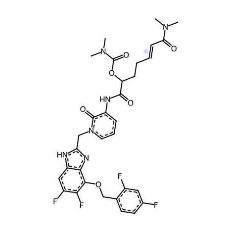 CN(C)C(=O)/C=C/CCC(OC(=O)N(C)C)C(=O)Nc1cccn(Cc2nc3c(OCc4ccc(F)cc4F)c(F)c(F)cc3[nH]2)c1=O